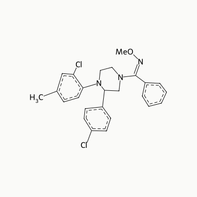 CON=C(c1ccccc1)N1CCN(c2ccc(C)cc2Cl)C(c2ccc(Cl)cc2)C1